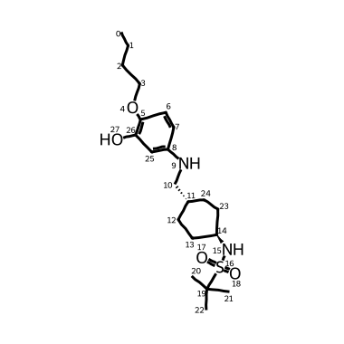 CCCCOc1ccc(NC[C@H]2CC[C@H](NS(=O)(=O)C(C)(C)C)CC2)cc1O